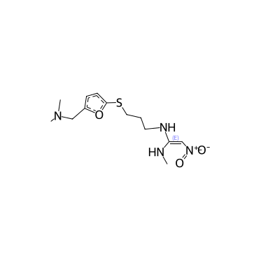 CN/C(=C\[N+](=O)[O-])NCCCSc1ccc(CN(C)C)o1